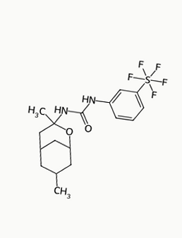 CC1CC2CC(C1)OC(C)(NC(=O)Nc1cccc(S(F)(F)(F)(F)F)c1)C2